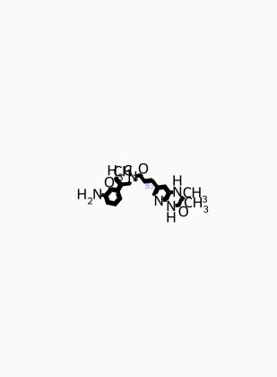 Cc1oc2c(N)cccc2c1CN(C)C(=O)/C=C/c1cnc2c(c1)NC(C)(C)C(=O)N2